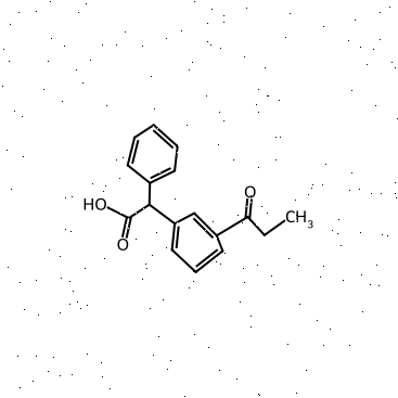 CCC(=O)c1cccc(C(C(=O)O)c2ccccc2)c1